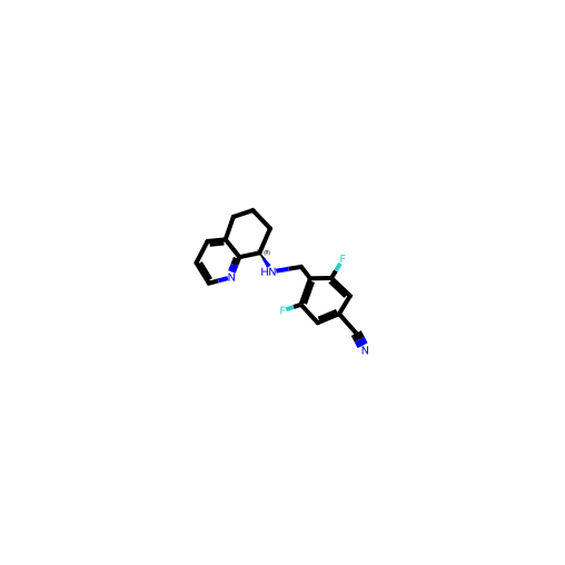 N#Cc1cc(F)c(CN[C@@H]2CCCc3cccnc32)c(F)c1